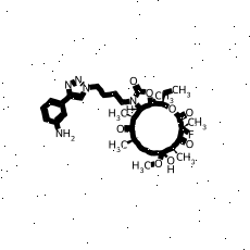 CC[C@H]1OC(=O)[C@@](C)(F)C(=O)[C@H](C)[C@](O)(OC)CC[C@@H](C)C(=O)[C@H](C)[C@H]2N(CCCCn3cc(-c4cccc(N)c4)nn3)C(=O)O[C@]12C